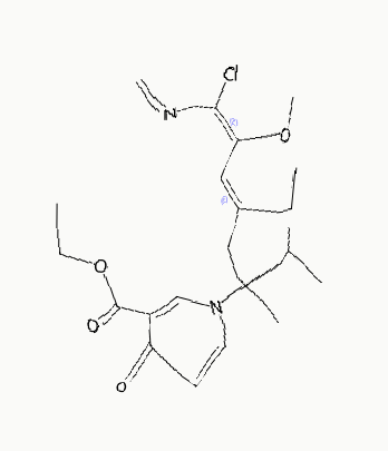 C=N/C(Cl)=C(\C=C(/CC)CC(C)(C(C)C)n1ccc(=O)c(C(=O)OCC)c1)OC